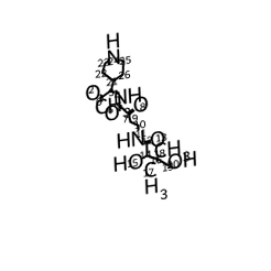 CC(=O)C(NC(=O)C(=O)CCNC(=O)C(O)C(C)(C)CO)C1CCNCC1